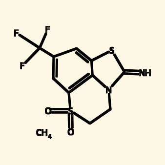 C.N=c1sc2cc(C(F)(F)F)cc3c2n1CCS3(=O)=O